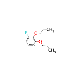 CCCOc1[c]ccc(F)c1OCCC